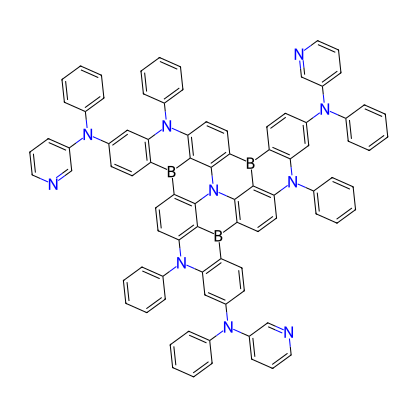 c1ccc(N(c2cccnc2)c2ccc3c(c2)N(c2ccccc2)c2ccc4c5c2B3c2ccc3c6c2N5c2c(ccc5c2B4c2ccc(N(c4ccccc4)c4cccnc4)cc2N5c2ccccc2)B6c2ccc(N(c4ccccc4)c4cccnc4)cc2N3c2ccccc2)cc1